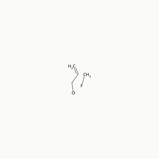 C=CC[O].CF